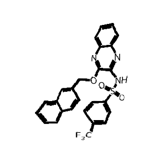 O=S(=O)(Nc1nc2ccccc2nc1OCc1ccc2ccccc2c1)c1ccc(C(F)(F)F)cc1